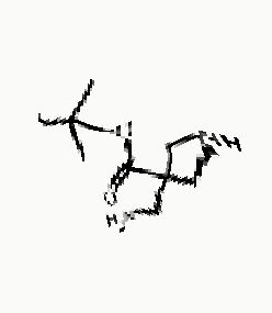 CC(C)(C)OC(=O)C1(CN)CNC1